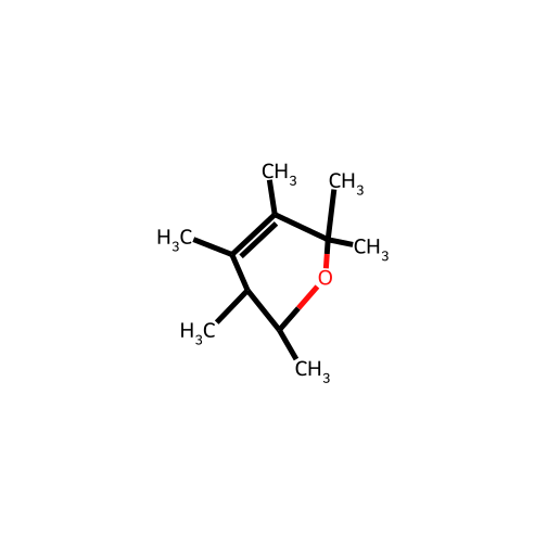 CC1=C(C)C(C)(C)OC(C)C1C